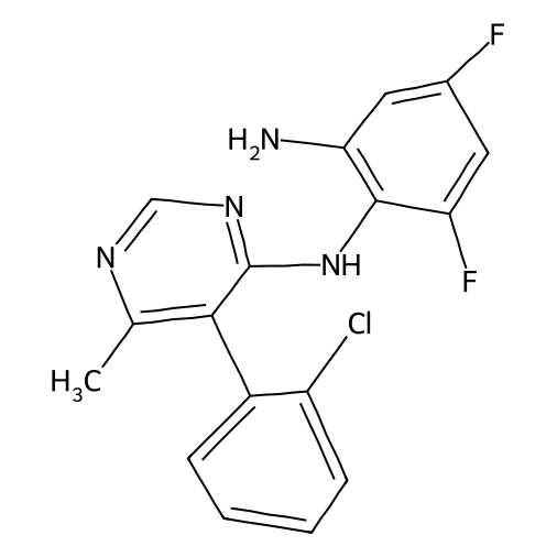 Cc1ncnc(Nc2c(N)cc(F)cc2F)c1-c1ccccc1Cl